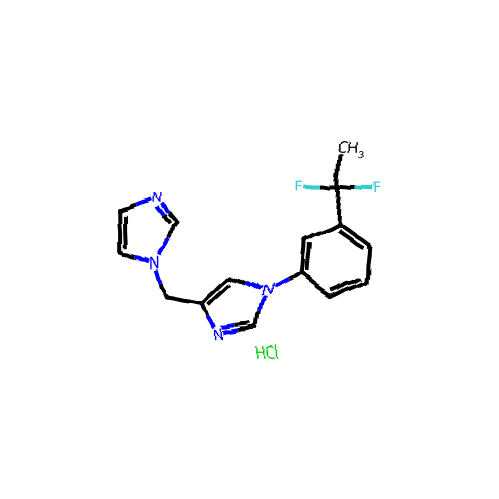 CC(F)(F)c1cccc(-n2cnc(Cn3ccnc3)c2)c1.Cl